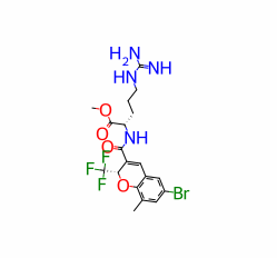 COC(=O)[C@H](CCCNC(=N)N)NC(=O)C1=Cc2cc(Br)cc(C)c2O[C@@H]1C(F)(F)F